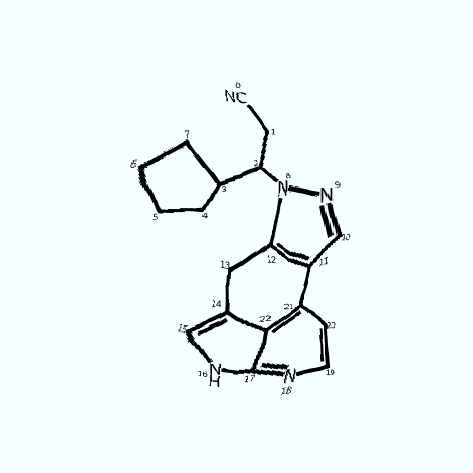 N#CCC(C1CCCC1)n1ncc2c1Cc1c[nH]c3nccc-2c13